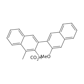 COc1cc2ccccc2cc1-c1cc2ccccc2c(C)c1C(=O)O